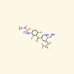 CC(C)[C@H](C)[C@H](C)[C@H]1CC(C(=O)c2c(F)ccc(NS(=O)(=O)N(C)C3CC3)c2F)=CNC1C=N